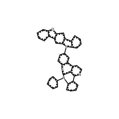 c1ccc(N2c3ccccc3-c3nccc4c3c2nc2ccc(-n3c5ccccc5c5cc6oc7ccccc7c6cc53)cc24)cc1